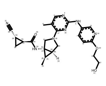 Cc1cnc(Nc2ccc(OCCO)nc2)nc1N1C[C@H]2[C@@H](C)[C@@]2(NC(=O)[C@H]2C[C@@H]2C#N)C1